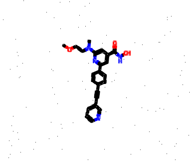 COCCN(C)c1cc(C(=O)NO)cc(-c2ccc(C#Cc3cccnc3)cc2)n1